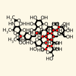 CC(=O)NC1C(O)[C@H](O[C@@H]2OC(CO)[C@H](O)C(O)[C@@H]2O)[C@H](CO)O[C@H]1O[C@@H]1C(O)[C@H](O)C(CO)O[C@@H]1OCC1O[C@@H](O[C@@H]2C(CO)O[C@@H](O[C@@H]3C(CO)O[C@@H](C)[C@@H](NC(C)=O)C3O)[C@@H](NC(C)=O)C2O)[C@H](O)C(O[C@H]2O[C@H](CO)[C@@H](O)C(O)C2O[C@@H]2OC(CO)[C@@H](O[C@@H]3OC(CO)[C@H](O)C(O)[C@@H]3O)C(O)[C@@H]2NC(C)=O)[C@@H]1O